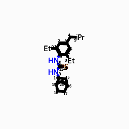 CCc1cc(CC(C)C)cc(CC)c1NC(=S)NC1CC2CCC1C2